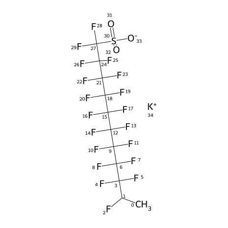 CC(F)C(F)(F)C(F)(F)C(F)(F)C(F)(F)C(F)(F)C(F)(F)C(F)(F)C(F)(F)C(F)(F)S(=O)(=O)[O-].[K+]